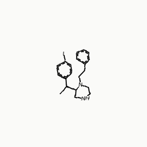 CC(c1ccc(I)cc1)C1CNCCN1CCc1ccccc1